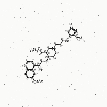 COc1ccc2nccc([C@@H](F)CC[C@@H]3CCN(CCCSc4c[nH]nc4C)C[C@@H]3CC(=O)O)c2c1